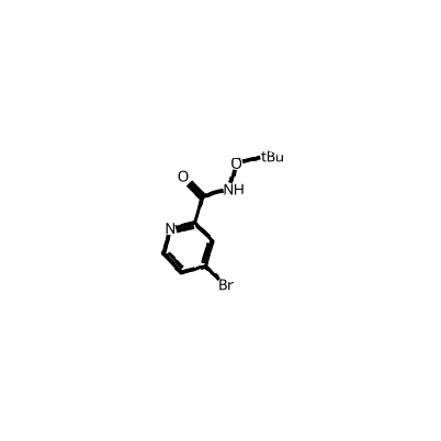 CC(C)(C)ONC(=O)c1cc(Br)ccn1